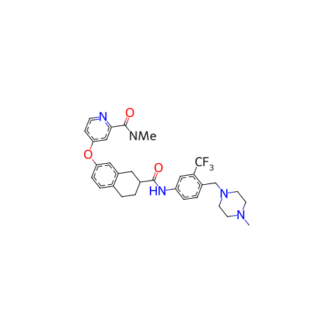 CNC(=O)c1cc(Oc2ccc3c(c2)CC(C(=O)Nc2ccc(CN4CCN(C)CC4)c(C(F)(F)F)c2)CC3)ccn1